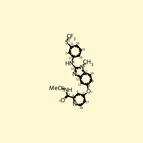 CONC(=O)c1cc(Oc2ccc3c(c2)nc(Nc2cccc(SC(F)(F)F)c2)n3C)ccn1